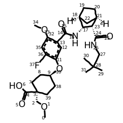 COC[C@]1(C(=O)O)CC[C@@H](Oc2cc(C(=O)N[C@@H]3[C@H]4CC[C@H](C4)[C@@H]3C(=O)NCC(C)(C)C)c(OC)cc2F)CC1